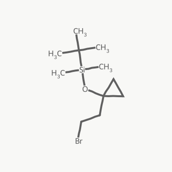 CC(C)(C)[Si](C)(C)OC1(CCBr)CC1